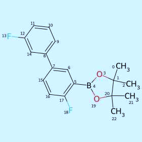 CC1(C)OB(c2cc(-c3cccc(F)c3)ccc2F)OC1(C)C